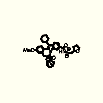 COc1ccc2c(c1)CC(C)(C(=O)N1C3CC1CN(C)C3)Cn1c-2c(C2CCCCC2)c2ccc(C(=O)NS(=O)(=O)CC3CCCO3)cc21